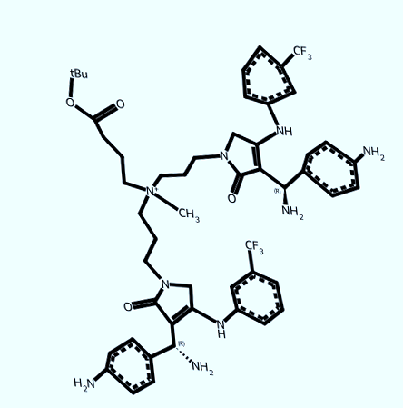 CC(C)(C)OC(=O)CCC[N+](C)(CCCN1CC(Nc2cccc(C(F)(F)F)c2)=C([C@H](N)c2ccc(N)cc2)C1=O)CCCN1CC(Nc2cccc(C(F)(F)F)c2)=C([C@H](N)c2ccc(N)cc2)C1=O